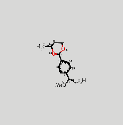 COC(C(=O)O)c1ccc(C2OCCC(C)O2)cc1